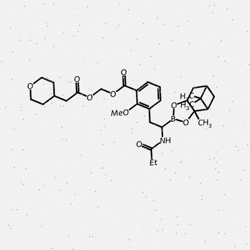 CCC(=O)NC(Cc1cccc(C(=O)OCOC(=O)CC2CCOCC2)c1OC)B1OC2CC3CC(C3(C)C)C2(C)O1